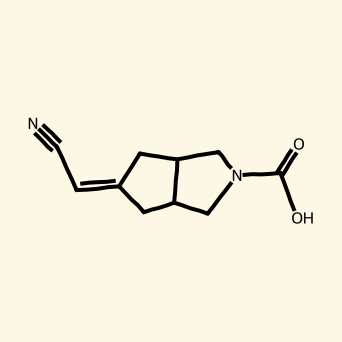 N#CC=C1CC2CN(C(=O)O)CC2C1